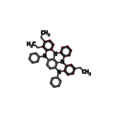 CCc1cccc(N(c2ccccc2)c2ccc(N(c3ccccc3)c3ccccc3)c(N(c3ccccc3)c3cccc(CC)c3)c2N(c2ccccc2)c2cccc(CC)c2)c1